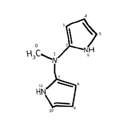 CN(c1ccc[nH]1)c1ccc[nH]1